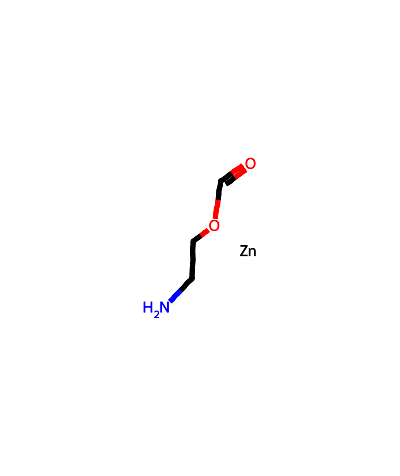 NCCOC=O.[Zn]